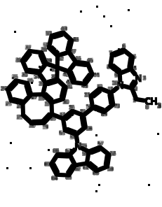 CCc1nc2ccccc2n1-c1ccc(-c2cc(C3=C=CCc4ccccc4-c4c3ccc3c4-c4ccccc4C34c3ccccc3-c3ccccc34)cc(-n3c4ccccc4c4ccccc43)c2)cc1